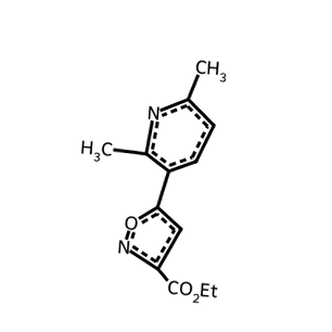 CCOC(=O)c1cc(-c2ccc(C)nc2C)on1